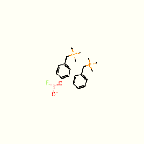 C[P+](C)(C)Cc1ccccc1.C[P+](C)(C)Cc1ccccc1.[O-]B([O-])F